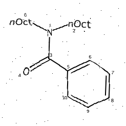 CCCCCCCCN(CCCCCCCC)C(=O)c1cc[c]cc1